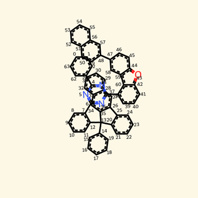 c1ccc(-c2nc(-c3ccccc3C3(c4ccccc4)c4ccccc4-c4cc5ccccc5cc43)nc(-c3cccc4oc5ccc(-c6ccc7ccccc7c6)cc5c34)n2)cc1